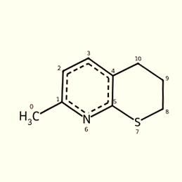 Cc1ccc2c(n1)SCCC2